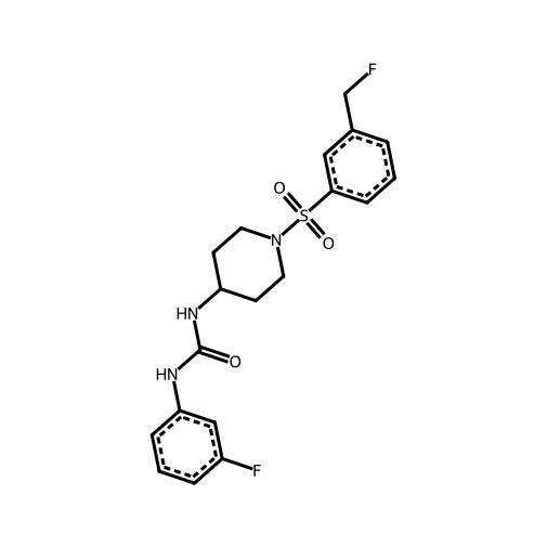 O=C(Nc1cccc(F)c1)NC1CCN(S(=O)(=O)c2cccc(CF)c2)CC1